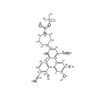 COc1ccc(-c2c(C#N)cc(C3CCCN(C(=O)OC(C)(C)C)CC3)nc2-c2ccc(C#N)c(F)c2)cc1F